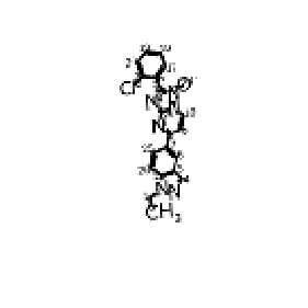 CCn1ncc2cc(-c3ccn4c(n3)nc(-c3ccccc3Cl)[n+]4[O-])ccc21